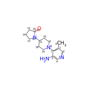 Cc1cncc(N)c1N1CCC(N2CCCC2=O)CC1